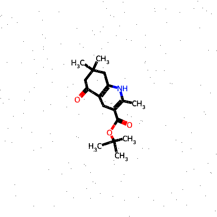 CC1=C(C(=O)OC(C)(C)C)CC2=C(CC(C)(C)CC2=O)N1